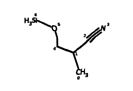 CC(C#N)CO[SiH3]